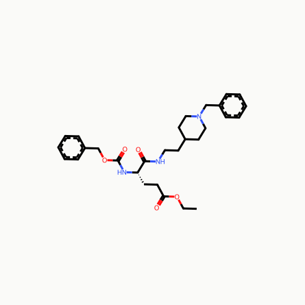 CCOC(=O)CC[C@H](NC(=O)OCc1ccccc1)C(=O)NCCC1CCN(Cc2ccccc2)CC1